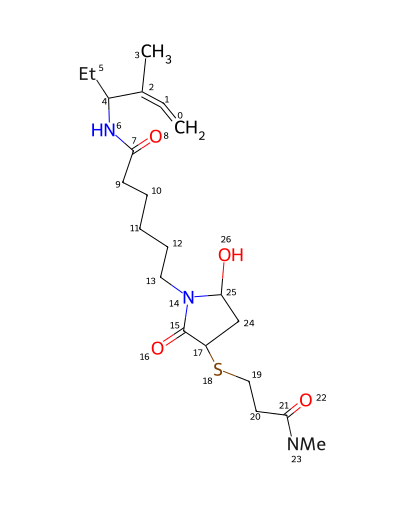 C=C=C(C)C(CC)NC(=O)CCCCCN1C(=O)C(SCCC(=O)NC)CC1O